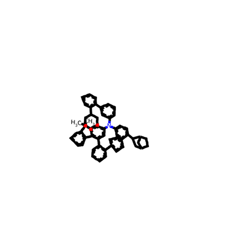 CC1(C)c2ccccc2-c2c(-c3ccccc3-c3ccccc3)cc(N(c3ccc(C4CC5CCC4C5)cc3)c3cccc(-c4ccccc4C4CCCCC4)c3)cc21